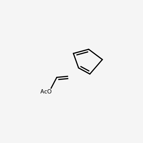 C1=CCC=C1.C=COC(C)=O